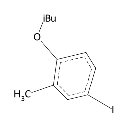 CCC(C)Oc1ccc(I)cc1C